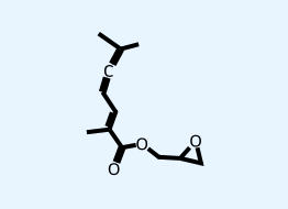 CC(C)=C=CC=C(C)C(=O)OCC1CO1